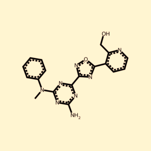 CN(c1ccccc1)c1nc(N)nc(-c2noc(-c3cccnc3CO)n2)n1